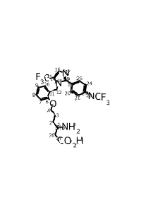 N[C@H](CCCOc1ccccc1Cn1c(C(F)(F)F)cnc1-c1ccc(NC(F)(F)F)cc1)CC(=O)O